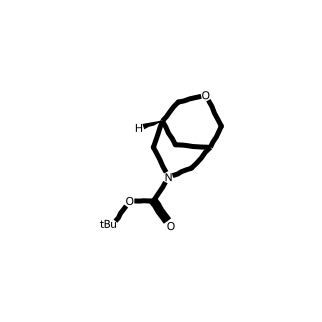 CC(C)(C)OC(=O)N1CC2COC[C@H](C2)C1